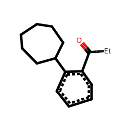 CCC(=O)c1ccccc1C1CCCCCC1